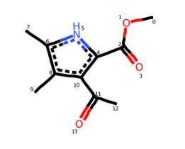 COC(=O)c1[nH]c(C)c(C)c1C(C)=O